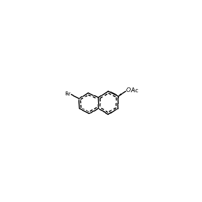 CC(=O)Oc1ccc2ccc(Br)cc2c1